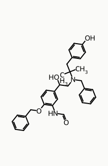 CC(C)(Cc1ccc(O)cc1)N(Cc1ccccc1)CC(O)c1ccc(OCc2ccccc2)c(NC=O)c1